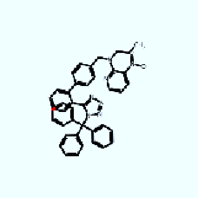 CCCN(Cc1ccc(-c2ccccc2-c2nnnn2C(c2ccccc2)(c2ccccc2)c2ccccc2)cc1)c1ncccc1[N+](=O)[O-]